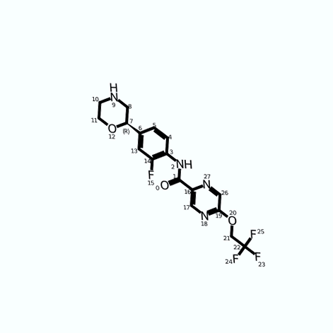 O=C(Nc1ccc([C@@H]2CNCCO2)cc1F)c1cnc(OCC(F)(F)F)cn1